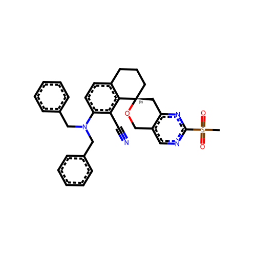 CS(=O)(=O)c1ncc2c(n1)C[C@@]1(CCCc3ccc(N(Cc4ccccc4)Cc4ccccc4)c(C#N)c31)OC2